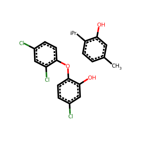 Cc1ccc(C(C)C)c(O)c1.Oc1cc(Cl)ccc1Oc1ccc(Cl)cc1Cl